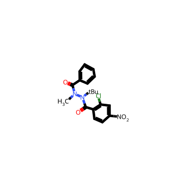 CN(C(=O)c1ccccc1)N(C(=O)c1ccc([N+](=O)[O-])cc1Cl)C(C)(C)C